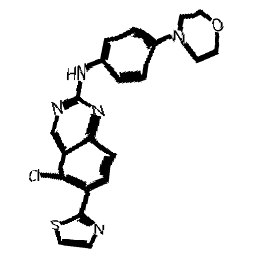 Clc1c(-c2nccs2)ccc2nc(Nc3ccc(N4CCOCC4)cc3)ncc12